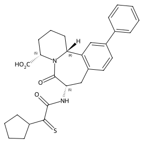 O=C(N[C@H]1Cc2ccc(-c3ccccc3)cc2[C@H]2CCC[C@@H](C(=O)O)N2C1=O)C(=S)C1CCCC1